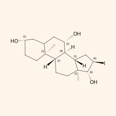 C[C@]12CC[C@H]3[C@@H]([C@@H](O)CC4C[C@@H](O)CC[C@@]43C)[C@@H]1C[C@@H](I)[C@@H]2O